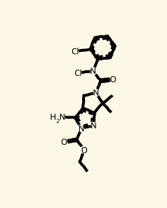 CCOC(=O)n1nc2c(c1N)CN(C(=O)N(Cl)c1ccccc1Cl)C2(C)C